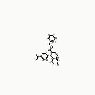 C=C(C)c1ccc(N(C(=C)COCc2ccccc2)C2=CCCC=C2C)cc1